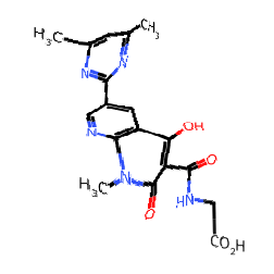 Cc1cc(C)nc(-c2cnc3c(c2)c(O)c(C(=O)NCC(=O)O)c(=O)n3C)n1